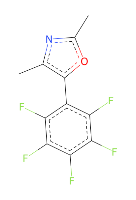 Cc1nc(C)c(-c2c(F)c(F)c(F)c(F)c2F)o1